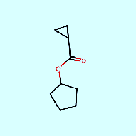 O=C(OC1CCCC1)C1CC1